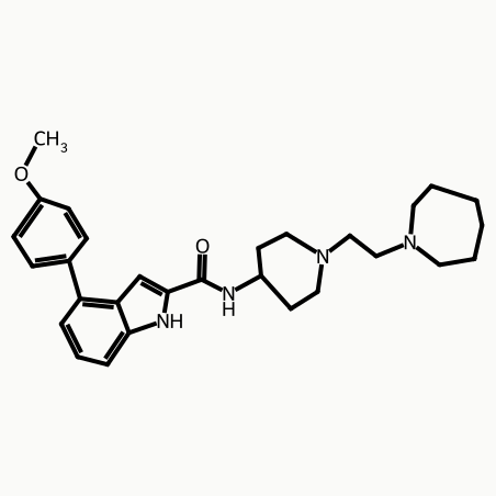 COc1ccc(-c2cccc3[nH]c(C(=O)NC4CCN(CCN5CCCCCC5)CC4)cc23)cc1